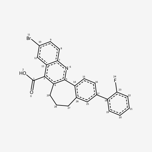 O=C(O)c1c2c(nc3ccc(Br)cc13)-c1ccc(-c3ccccc3F)cc1CCC2